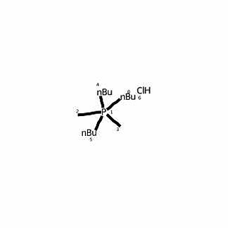 CCCCP(C)(C)(CCCC)CCCC.Cl